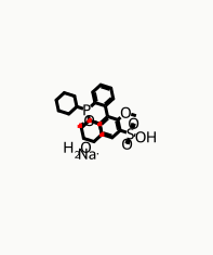 COc1ccc(S(=O)(=O)O)c(OC)c1-c1ccccc1P(C1CCCCC1)C1CCCCC1.O.[Na]